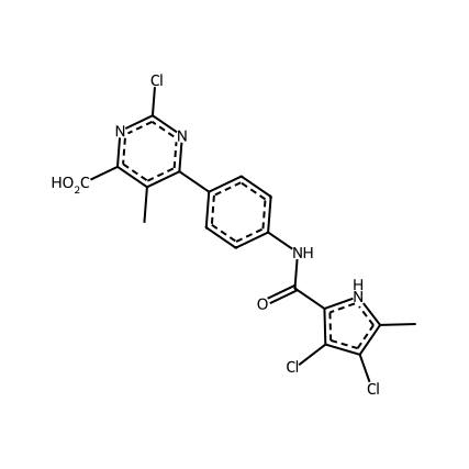 Cc1[nH]c(C(=O)Nc2ccc(-c3nc(Cl)nc(C(=O)O)c3C)cc2)c(Cl)c1Cl